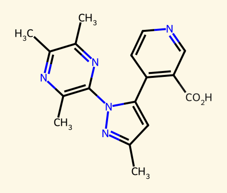 Cc1cc(-c2ccncc2C(=O)O)n(-c2nc(C)c(C)nc2C)n1